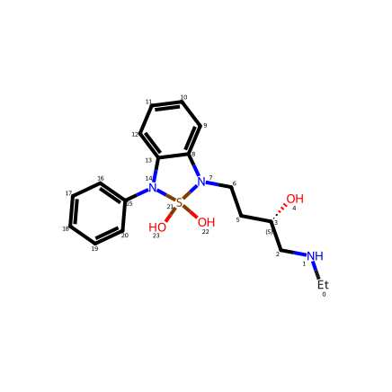 CCNC[C@@H](O)CCN1c2ccccc2N(c2ccccc2)S1(O)O